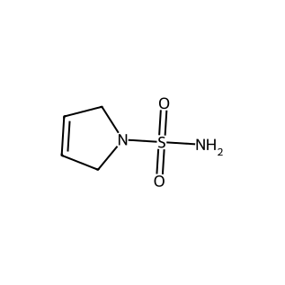 NS(=O)(=O)N1CC=CC1